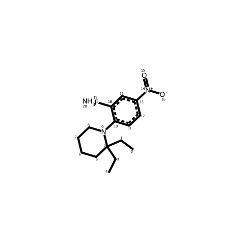 CCC1(CC)CCCCN1c1ccc([N+](=O)[O-])cc1F.N